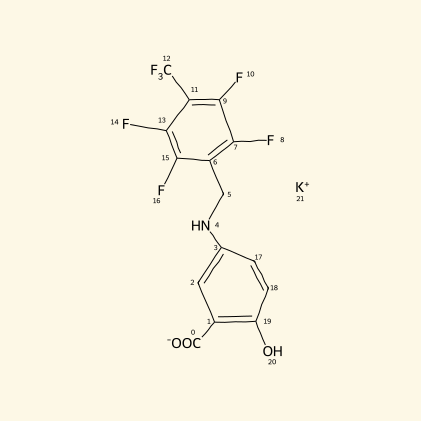 O=C([O-])c1cc(NCc2c(F)c(F)c(C(F)(F)F)c(F)c2F)ccc1O.[K+]